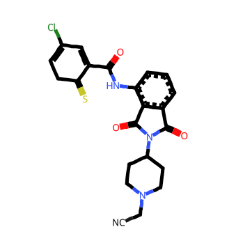 N#CCN1CCC(N2C(=O)c3cccc(NC(=O)C4=CC(Cl)=CCC4=S)c3C2=O)CC1